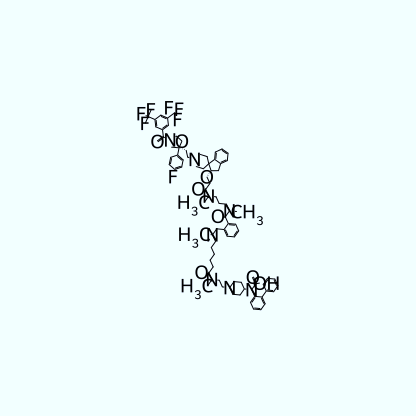 CN(CCCCCC(=O)N(C)CCN1CCC(N(C(=O)O)c2ccccc2-c2ccccc2)CC1)Cc1ccccc1C(=O)N(C)CCCN(C)C(=O)CO[C@H]1Cc2ccccc2C12CCN(CC[C@]1(c3ccc(F)cc3)CN(C(=O)c3cc(C(F)(F)F)cc(C(F)(F)F)c3)CO1)CC2